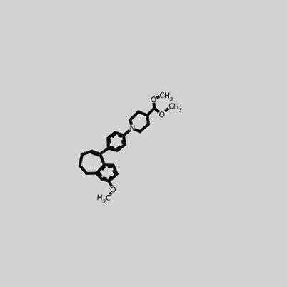 COc1ccc2c(c1)CCCC=C2c1ccc(N2CCC(C(OC)OC)CC2)cc1